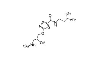 CCCC(CCC)CCNC(=O)c1cnc(OCC(O)CNC(C)(C)C)s1